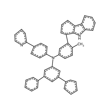 Cc1ccc(N(c2ccc(-c3ccccn3)cc2)c2cc(-c3ccccc3)cc(-c3ccccc3)c2)cc1-c1cccc2c1[nH]c1ccccc12